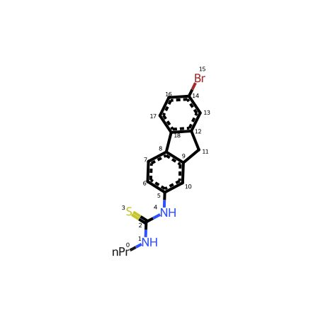 CCCNC(=S)Nc1ccc2c(c1)Cc1cc(Br)ccc1-2